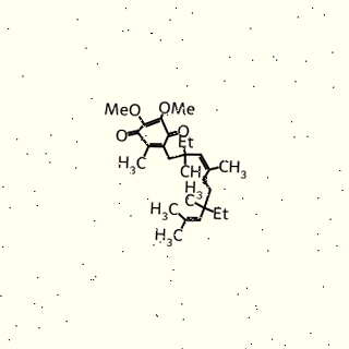 CCC(C)(C=C(C)C)CCC(C)=CC(C)(CC)CC1=C(C)C(=O)C(OC)=C(OC)C1=O